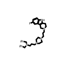 CC(C)CN(CCCN1CCN(CCCN2CCc3[nH]c4ccc(F)cc4c3C2)CC1)CC(C)C